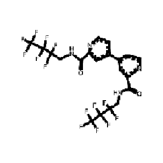 O=C(NCC(F)(F)C(F)(F)C(F)(F)F)c1cc(-c2ccnc(C(=O)NCC(F)(F)C(F)(F)C(F)(F)F)c2)ccn1